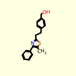 Cc1sc(CCc2ccc(CO)cc2)nc1-c1ccccc1